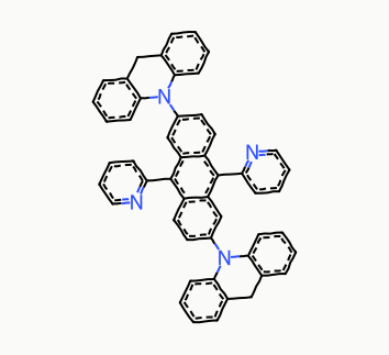 c1ccc(-c2c3ccc(N4c5ccccc5Cc5ccccc54)cc3c(-c3ccccn3)c3ccc(N4c5ccccc5Cc5ccccc54)cc23)nc1